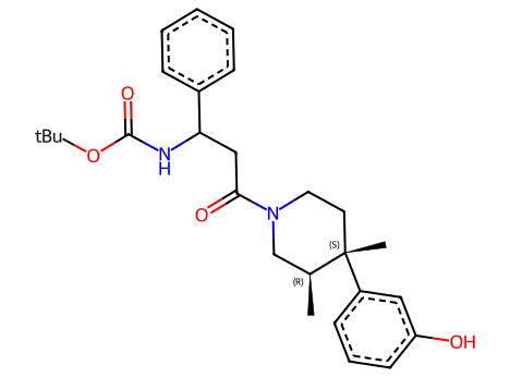 C[C@H]1CN(C(=O)CC(NC(=O)OC(C)(C)C)c2ccccc2)CC[C@]1(C)c1cccc(O)c1